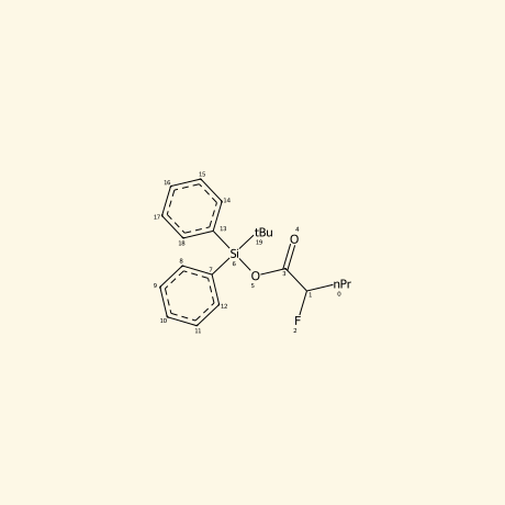 CCCC(F)C(=O)O[Si](c1ccccc1)(c1ccccc1)C(C)(C)C